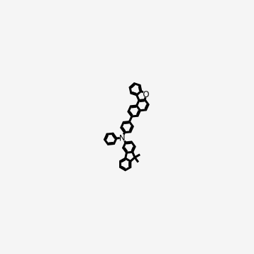 CC1(C)c2ccccc2-c2cc(N(c3ccccc3)c3ccc(-c4ccc5c(ccc6oc7ccccc7c65)c4)cc3)ccc21